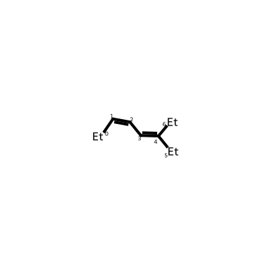 CC/C=C\C=C(CC)CC